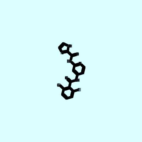 O=C(Nc1cc(NC(=O)c2c(Cl)cccc2Cl)ccn1)c1ncc[nH]1